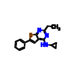 CCc1nc(NC2CC2)c2cc(-c3ccccc3)sc2n1